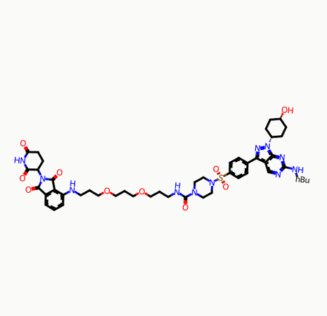 CCCCNc1ncc2c(-c3ccc(S(=O)(=O)N4CCN(C(=O)NCCCOCCCOCCCNc5cccc6c5C(=O)N(C5CCC(=O)NC5=O)C6=O)CC4)cc3)nn([C@H]3CC[C@H](O)CC3)c2n1